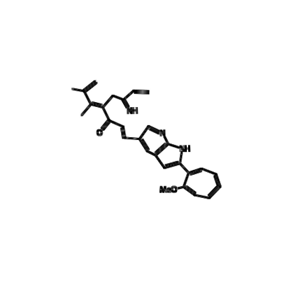 C=CC(=N)C/C(C(=O)/C=C/c1cnc2[nH]c(C3=CC=C=CC=C3OC)cc2c1)=C(/C)C(=C)C